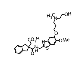 COc1cc2sc(CNC(=O)C3(CC(=O)O)Cc4ccccc4C3)nc2cc1OCCCN(C)CCO